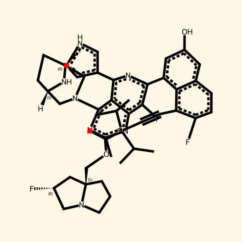 CC(C)[Si](C#Cc1c(F)ccc2cc(O)cc(-c3nc(-c4cn[nH]c4)c4c(N5C[C@H]6CC[C@@H](C5)N6)nc(OC[C@@]56CCCN5C[C@H](F)C6)nc4c3F)c12)(C(C)C)C(C)C